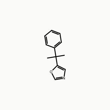 CC(C)(c1ccccc1)c1cnco1